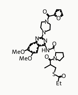 CCC(=O)SCC(C)C(=O)N1CCC[C@H]1C(=O)Nc1nc(N2CCN(C(=O)c3ccco3)CC2)nc2cc(OC)c(OC)cc12